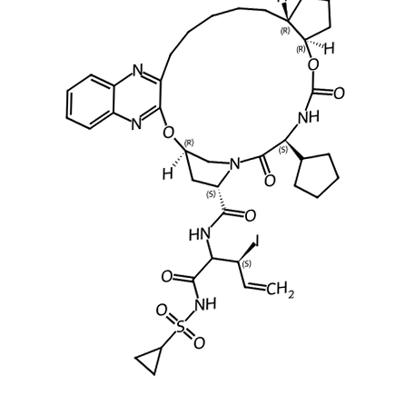 C=C[C@H](I)C(NC(=O)[C@@H]1C[C@@H]2CN1C(=O)[C@H](C1CCCC1)NC(=O)O[C@@H]1CCC[C@H]1CCCCCc1nc3ccccc3nc1O2)C(=O)NS(=O)(=O)C1CC1